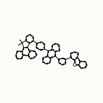 CC1(C)c2cccc(-c3ccc(-c4c5ccccc5c(-c5cccc(-c6cccc7c6oc6ccccc67)c5)c5ccccc45)cc3)c2-c2c1c1ccccc1c1ccccc21